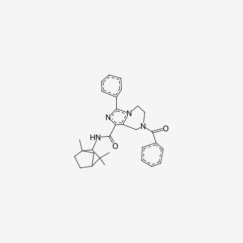 CC12CCC(C1)C(C)(C)C2NC(=O)c1nc(-c2ccccc2)n2c1CN(C(=O)c1ccccc1)CC2